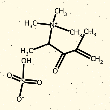 C=C(C)C(=O)C(C)[N+](C)(C)C.O=S(=O)([O-])O